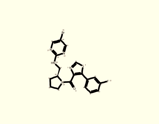 O=C(c1ncsc1-c1cccc(F)c1)N1CCC[C@H]1CNc1ncc(Br)cn1